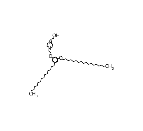 CCCCCCCCCCCCCCCCCCOc1cc(CCCCCCCCCCCCCCC)cc(OCCN2CCN(CCO)CC2)c1